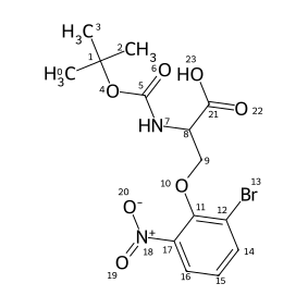 CC(C)(C)OC(=O)NC(COc1c(Br)cccc1[N+](=O)[O-])C(=O)O